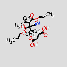 CCCOC(=O)C(C(C)C)C(C#N)(C(=O)OCCC)C(C)C.O=C(O)CCC(=O)O